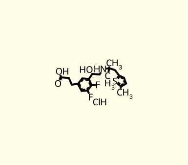 Cc1ccc(CC(C)(C)NC[C@@H](O)c2cc(CCC(=O)O)cc(F)c2F)s1.Cl